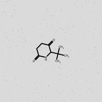 CC(C)(C)C1NC(=O)CCC1=O